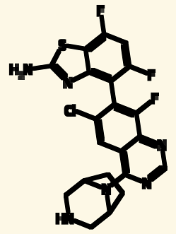 Nc1nc2c(-c3c(Cl)cc4c(N5C6CCC5CNC6)ncnc4c3F)c(F)cc(F)c2s1